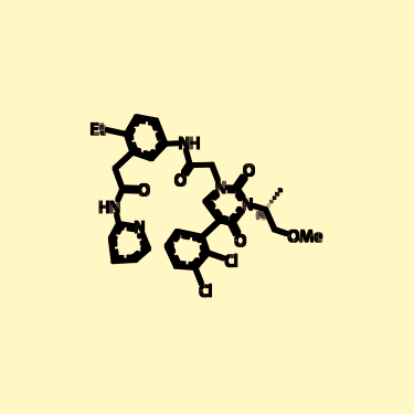 CCc1ccc(NC(=O)Cn2cc(-c3cccc(Cl)c3Cl)c(=O)n([C@H](C)COC)c2=O)cc1CC(=O)Nc1ccccn1